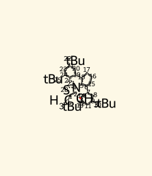 CC1=C(C)N(c2c(-c3cc(C(C)(C)C)cc(C(C)(C)C)c3)cccc2-c2cc(C(C)(C)C)cc(C(C)(C)C)c2)[C]S1